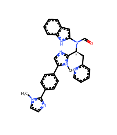 Cn1ccnc1-c1ccc(-c2cnc([C@H](Cc3ccccn3)N(C=O)c3cc4ccccc4[nH]3)n2C)cc1